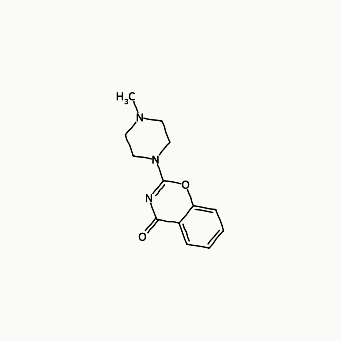 CN1CCN(c2nc(=O)c3ccccc3o2)CC1